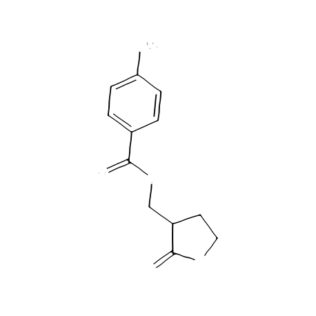 COc1ccc(C(=O)SCC2CCOC2=O)cc1